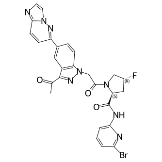 CC(=O)c1nn(CC(=O)N2C[C@H](F)C[C@H]2C(=O)Nc2cccc(Br)n2)c2ccc(-c3ccc4nccn4n3)cc12